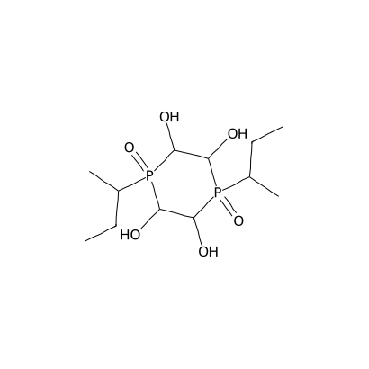 CCC(C)P1(=O)C(O)C(O)P(=O)(C(C)CC)C(O)C1O